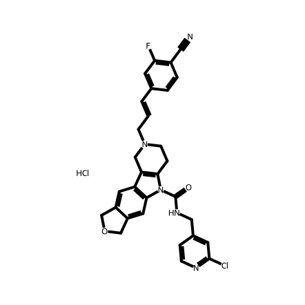 Cl.N#Cc1ccc(/C=C/CN2CCc3c(c4cc5c(cc4n3C(=O)NCc3ccnc(Cl)c3)COC5)C2)cc1F